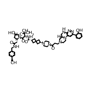 C#Cc1ccc(CNC(=O)C[C@@H]2C[C@@H](O)CN2C(=O)[C@@H](NC(=O)[C@H]2CC3(C2)C[C@H](N2CCN(C(=O)CCN4CCN5c6cc(-c7ccccc7O)nnc6NC[C@H]5C4)CC2)C3)C(C)(C)C)cc1